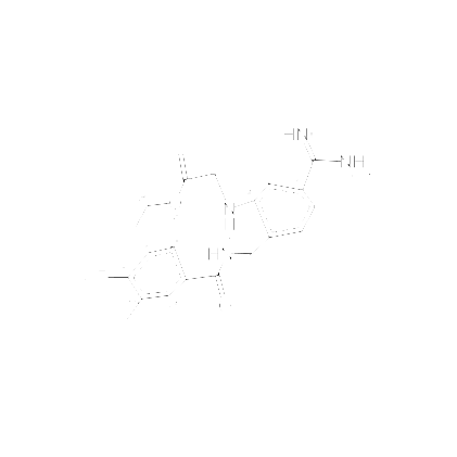 C=C(CNc1cc(C(=N)N)ccc1CNC(=O)c1ccc(F)c(C)c1)OCC